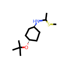 CSC(C)N[C@H]1CC[C@H](OC(C)(C)C)CC1